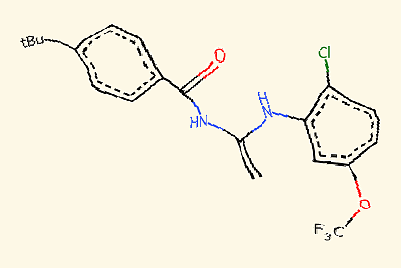 C=C(NC(=O)c1ccc(C(C)(C)C)cc1)Nc1cc(OC(F)(F)F)ccc1Cl